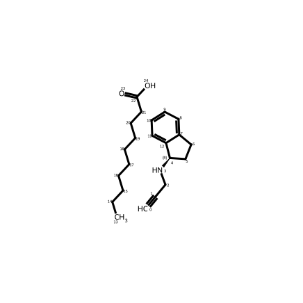 C#CCN[C@@H]1CCc2ccccc21.CCCCCCCCCC(=O)O